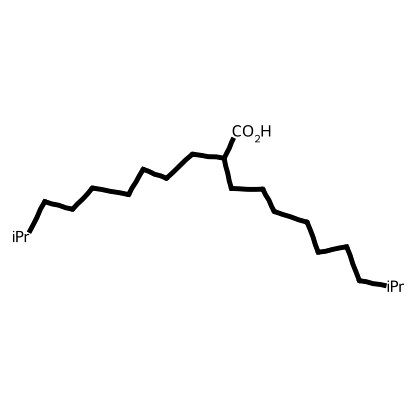 CC(C)CCCCCCCC(CCCCCCCC(C)C)C(=O)O